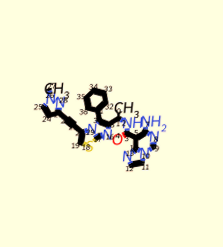 C[C@@H](NC(=O)c1c(N)ncn2ccnc12)c1nc2scc(C#Cc3ccn(C)n3)n2c1-c1ccccc1